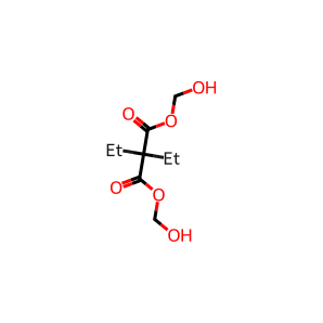 CCC(CC)(C(=O)OCO)C(=O)OCO